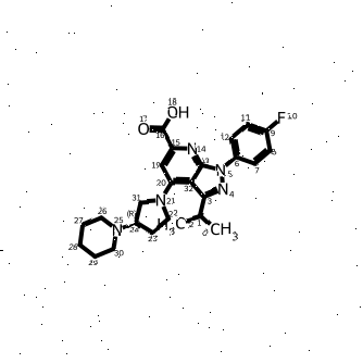 CC(C)c1nn(-c2ccc(F)cc2)c2nc(C(=O)O)cc(N3CC[C@@H](N4CCCCC4)C3)c12